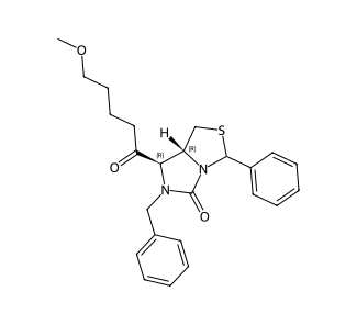 COCCCCC(=O)[C@H]1[C@@H]2CSC(c3ccccc3)N2C(=O)N1Cc1ccccc1